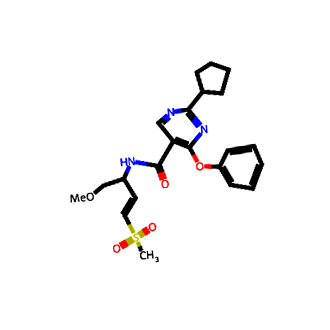 COCC(/C=C/S(C)(=O)=O)NC(=O)c1cnc(C2CCCC2)nc1Oc1ccccc1